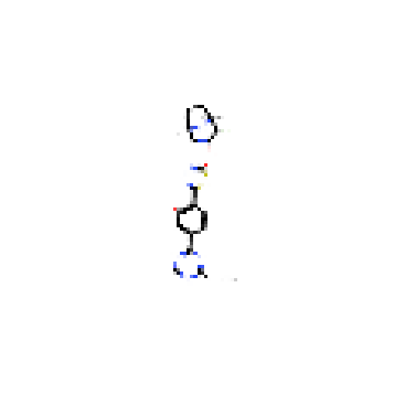 COc1ncnc(-c2ccc(-c3nnc(O[C@H]4C[C@]5(C)CC[C@@H](N5)[C@H]4F)s3)c(O)c2)n1